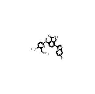 Cc1ccc(Nc2ccc(-c3cnc4cc(F)ccn34)c3c2C(=O)NC3)nc1CN